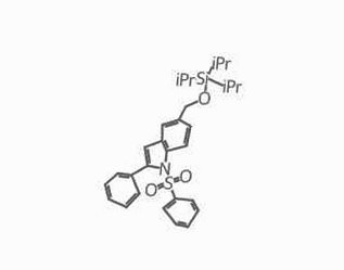 CC(C)[Si](OCc1ccc2c(c1)cc(-c1ccccc1)n2S(=O)(=O)c1ccccc1)(C(C)C)C(C)C